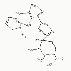 Cc1cccc(-c2cnc(C3(O)CCC(C(=O)O)C(C)C3C)s2)c1NC1=NC=CCN1C